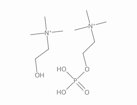 C[N+](C)(C)CCO.C[N+](C)(C)CCOP(=O)(O)O